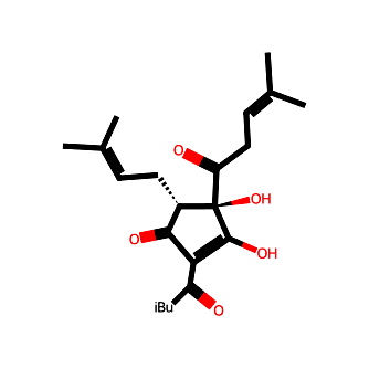 CCC(C)C(=O)C1=C(O)[C@@](O)(C(=O)CC=C(C)C)[C@@H](CC=C(C)C)C1=O